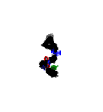 O=C(N[C@H]1CC[C@@H](Nc2ccc3ccccc3n2)CC1)c1cccnc1Oc1ccccc1Br